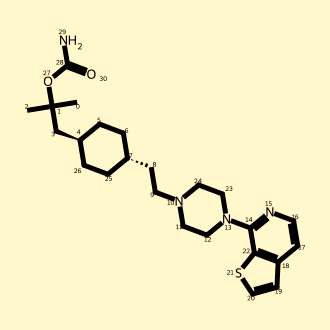 CC(C)(C[C@H]1CC[C@H](CCN2CCN(c3nccc4ccsc34)CC2)CC1)OC(N)=O